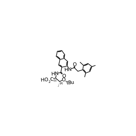 Cc1cc(C)c(CC(=O)Nc2cc3ccccc3cc2C(=O)N[C@H](C(=O)O)[C@@H](C)OC(C)(C)C)c(C)c1